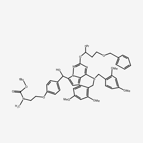 CCCC(CCOCc1ccccc1)Oc1nc(N(Cc2ccc(OC)cc2OC)Cc2ccc(OC)cc2OC)c2ncc(C(O)c3ccc(OCCN(C)C(=O)OC(C)(C)C)cc3)n2n1